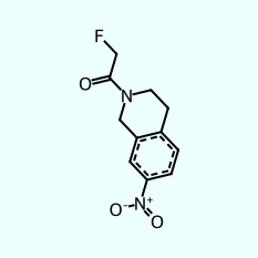 O=C(CF)N1CCc2ccc([N+](=O)[O-])cc2C1